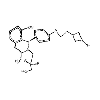 CCC1CN(CCOc2ccc([C@@H]3c4c(O)cccc4C[C@@H](C)N3CC(F)(F)CO)cc2)C1